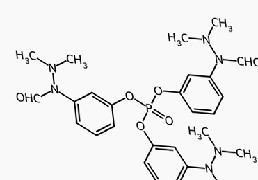 CN(C)N(C=O)c1cccc(OP(=O)(Oc2cccc(N(C=O)N(C)C)c2)Oc2cccc(N(C=O)N(C)C)c2)c1